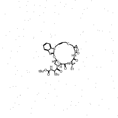 CC[C@@H]1C[C@@]12NC(=O)[C@@H]1C[C@H](CN1C(=O)C(NC(=O)OC(C)(C)C)C(C)(C)C)Oc1nc3ccccc3n1C/C=C\CCCC1(CC1)S(=O)(=O)NC2=O